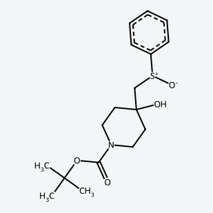 CC(C)(C)OC(=O)N1CCC(O)(C[S+]([O-])c2ccccc2)CC1